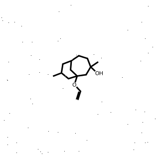 C=COC12CC(C)CC(CCC(C)(O)C1)C2